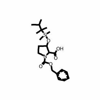 CC(C)C(C)(C)[Si](C)(C)OC1CCN(C(=O)OCc2ccccc2)C1C(=O)O